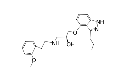 CCCc1n[nH]c2cccc(OC[C@@H](O)CNCCc3ccccc3OC)c12